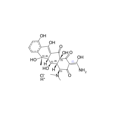 CN(C)[C@@H]1C(=O)/C(=C(\N)O)C(=O)[C@@]2(O)C(=O)C3=C(O)c4c(O)cccc4[C@@](C)(O)[C@H]3[C@H](O)[C@@H]12.[Cl-].[H+]